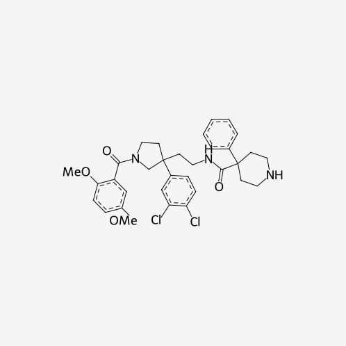 COc1ccc(OC)c(C(=O)N2CCC(CCNC(=O)C3(c4ccccc4)CCNCC3)(c3ccc(Cl)c(Cl)c3)C2)c1